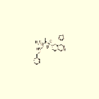 C[C@H](CNCCc1ccccc1)NS(=O)(=O)c1ccc2cncc(-c3ccsc3)c2c1